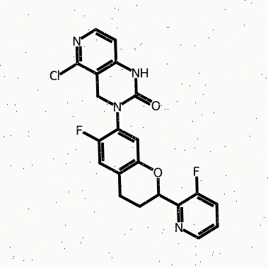 O=C1Nc2ccnc(Cl)c2CN1c1cc2c(cc1F)CCC(c1ncccc1F)O2